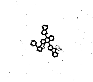 CC1(C)c2ccccc2-c2ccc(-c3c4ccccc4c(-c4ccc5ccccc5c4)c4ccc5c(sc6cccc(-c7ccccc7)c65)c34)cc21